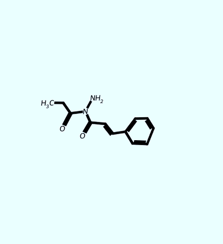 CCC(=O)N(N)C(=O)/C=C/c1ccccc1